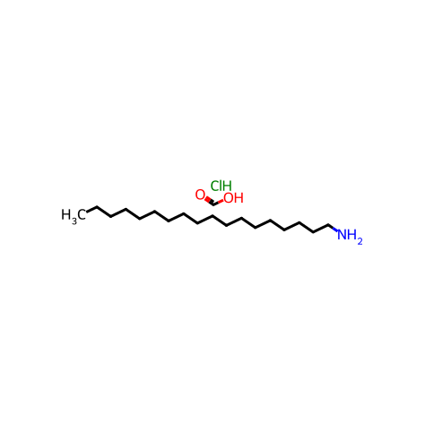 CCCCCCCCCCCCCCCCCCN.Cl.O=CO